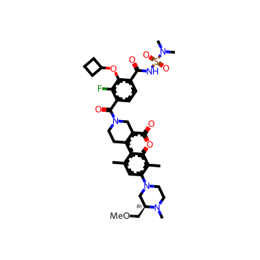 COC[C@H]1CN(c2cc(C)c3c4c(c(=O)oc3c2C)CN(C(=O)c2ccc(C(=O)NS(=O)(=O)N(C)C)c(OC3CCC3)c2F)CC4)CCN1C